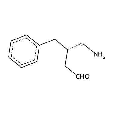 NC[C@H](CC=O)Cc1ccccc1